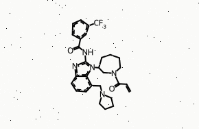 C=CC(=O)N1CCCCC(n2c(NC(=O)c3cccc(C(F)(F)F)c3)nc3cccc(CN4CCCC4)c32)C1